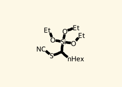 CCCCCCC(SC#N)[Si](OCC)(OCC)OCC